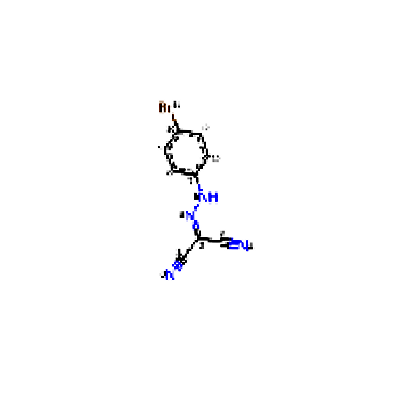 N#CC(C#N)=NNc1ccc(Br)cc1